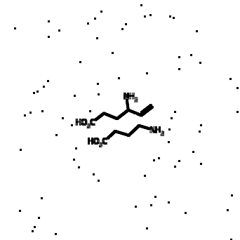 C=CC(N)CCC(=O)O.NCCCC(=O)O